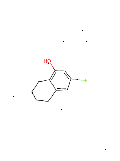 Oc1cc(F)cc2c1CCCC2